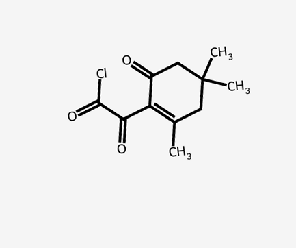 CC1=C(C(=O)C(=O)Cl)C(=O)CC(C)(C)C1